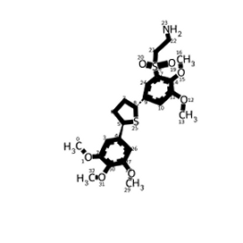 COc1cc([C@H]2CC[C@H](c3cc(OC)c(OC)c(S(=O)(=O)CCN)c3)S2)cc(OC)c1OC